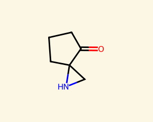 O=C1CCCC12CN2